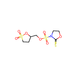 O=S1(=O)CCC(COS(=O)(=O)N2CCOC2=S)O1